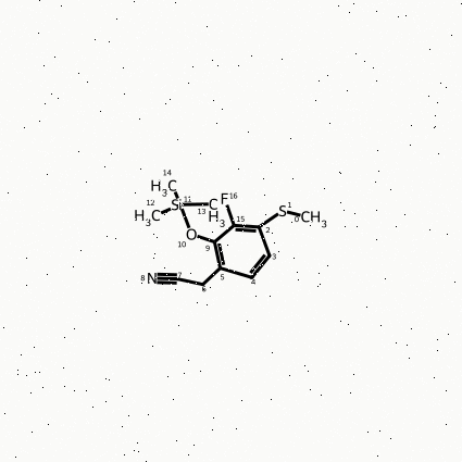 CSc1ccc(CC#N)c(O[Si](C)(C)C)c1F